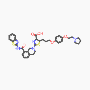 O=C(Nc1nc2ccccc2s1)c1cccc2c1CN(C1=NC(C(=O)O)C(CCCOc3ccc(OCCN4CCCC4)cc3)S1)CC2